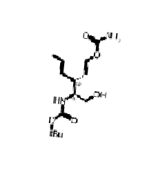 CC=C[C@H](CCOC(N)=O)[C@@H](CO)NC(=O)OC(C)(C)C